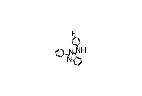 Fc1ccc(Nc2nc(-c3ccccc3)nc3ccccc23)cc1